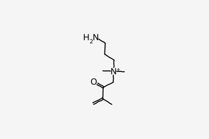 C=C(C)C(=O)C[N+](C)(C)CCCN